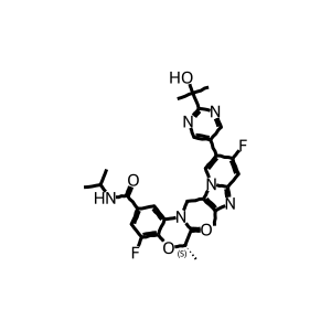 Cc1nc2cc(F)c(-c3cnc(C(C)(C)O)nc3)cn2c1CN1C(=O)[C@H](C)Oc2c(F)cc(C(=O)NC(C)C)cc21